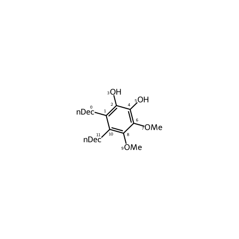 CCCCCCCCCCc1c(O)c(O)c(OC)c(OC)c1CCCCCCCCCC